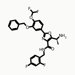 C[C@H](N)c1oc(-c2ccc(OC(F)F)c(OCc3ccccc3)c2)nc1C(=O)NCc1ccc(F)cc1F